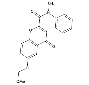 COCOc1ccc2oc(C(=O)N(C)c3ccccc3)cc(=O)c2c1